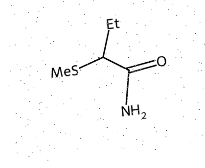 CC[C](SC)C(N)=O